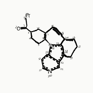 CC(C)C(=O)C1CCC2=C(C=CC3=CCCc4c3n2c2ccncc42)C1